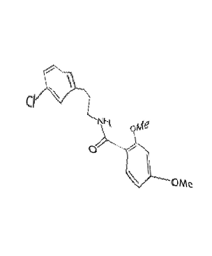 COc1ccc(C(=O)NCCc2cccc(Cl)c2)c(OC)c1